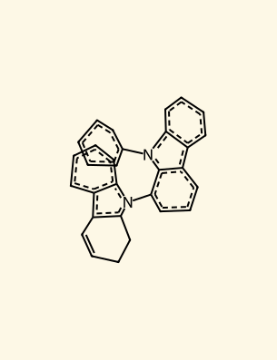 C1=Cc2c(n(-c3cccc4c5ccccc5n(-c5ccccc5)c34)c3ccccc23)CC1